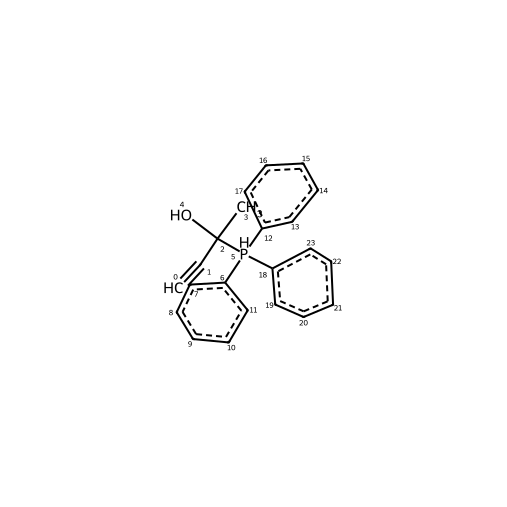 C#CC(C)(O)[PH](c1ccccc1)(c1ccccc1)c1ccccc1